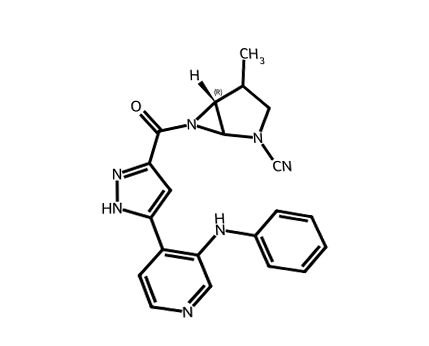 CC1CN(C#N)C2[C@@H]1N2C(=O)c1cc(-c2ccncc2Nc2ccccc2)[nH]n1